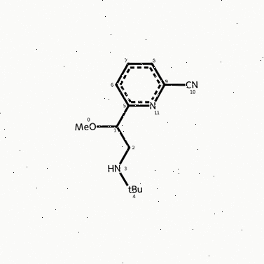 COC(CNC(C)(C)C)c1cccc(C#N)n1